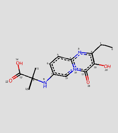 CCc1nc2ccc(NC(C)(C)C(=O)O)cn2c(=O)c1O